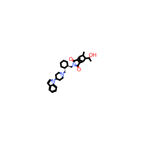 CC(O)C1C(C)C2CC1C1C(=O)N(C[C@@H]3CCCC[C@H]3CN3CCC(n4ccc5ccccc54)CC3)C(=O)C21